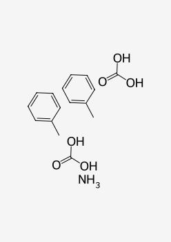 Cc1ccccc1.Cc1ccccc1.N.O=C(O)O.O=C(O)O